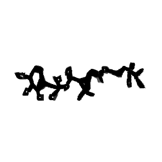 CN(C)S(=O)(=O)CCON=CC1C(C(=O)OC(Cl)(Cl)c2ccc(Cl)c(Cl)c2Cl)C1(C)C